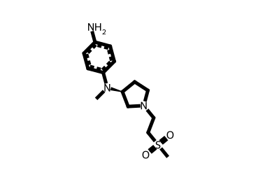 CN(c1ccc(N)cc1)[C@H]1CCN(CCS(C)(=O)=O)C1